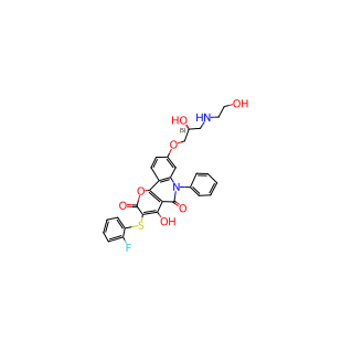 O=c1oc2c(c(O)c1Sc1ccccc1F)c(=O)n(-c1ccccc1)c1cc(OC[C@@H](O)CNCCO)ccc21